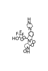 O=C(O)C(F)(F)F.O=C1CCC(N2C(=O)c3ccc(N4CCNCC4)cc3C2=O)C(=O)N1